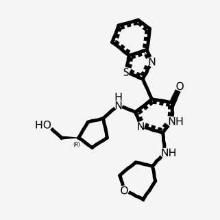 O=c1[nH]c(NC2CCOCC2)nc(NC2CC[C@@H](CO)C2)c1-c1nc2ccccc2s1